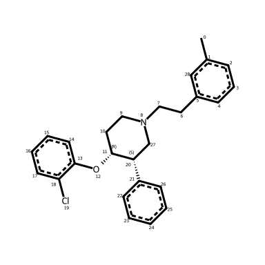 Cc1cccc(CCN2CC[C@@H](Oc3ccccc3Cl)[C@@H](c3ccccc3)C2)c1